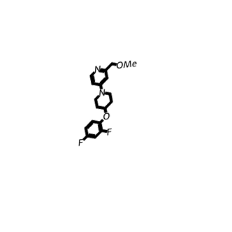 COCc1cc(N2CCC(Oc3ccc(F)cc3F)CC2)ccn1